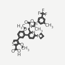 COc1ccc(-c2csc(C(=O)O)c2OC)cc1-c1ccc(N2CCC2)nc1CN1C(=O)O[C@H](c2cc(C)cc(C(F)(F)F)c2)[C@@H]1C